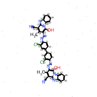 Cc1c(N=Nc2ccc(-c3ccc(N=Nc4c(C)c(C#N)c5nc6ccccc6n5c4O)c(Cl)c3)cc2Cl)c(O)n2c(nc3ccccc32)c1C#N